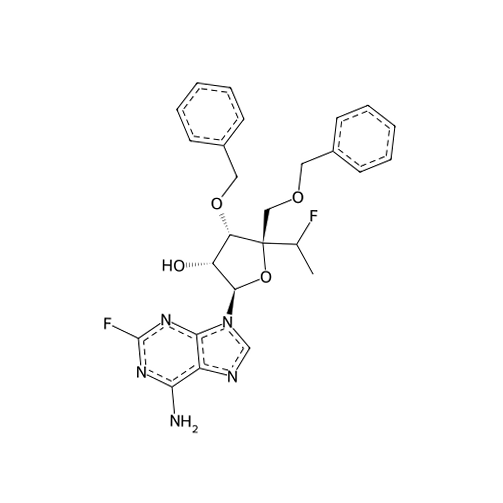 CC(F)[C@]1(COCc2ccccc2)O[C@@H](n2cnc3c(N)nc(F)nc32)[C@H](O)[C@@H]1OCc1ccccc1